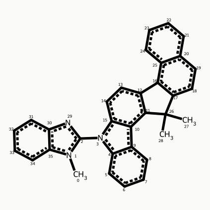 Cn1c(-n2c3ccccc3c3c4c(ccc32)-c2c(ccc3ccccc23)C4(C)C)nc2ccccc21